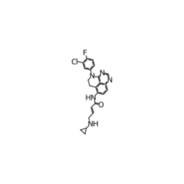 O=C(/C=C/CNC1CC1)Nc1ccc2ncnc3c2c1CCN3c1ccc(F)c(Cl)c1